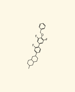 CC1CCC2CC(c3ccc(-c4cc(F)c(OCc5ccccc5)c(F)c4)c(F)c3)CCC2C1